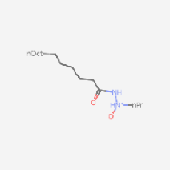 CCCCCCCCCCCCCC(=O)N[NH+]([O-])CCC